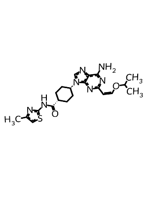 Cc1csc(NC(=O)[C@H]2CC[C@@H](n3cnc4c(N)nc(/C=C\OC(C)C)nc43)CC2)n1